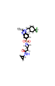 CC(C)(C)c1nc2cc(S(=O)(=O)N3CC(CC(=O)NC4CC4)C3)ccc2n1CC1CCC(F)(F)CC1